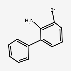 Nc1c(Br)cccc1-c1ccccc1